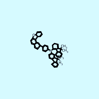 CC1(C)C2=CCCC(N(c3ccc(-c4ccc5ccc6c(c5c4)C4C=CC=CC4O6)cc3)c3ccc4c(c3)C(C)(C)c3ccccc3-4)=C2c2ccccc21